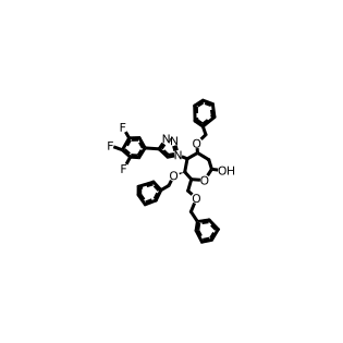 OC1CC(OCc2ccccc2)C(n2cc(-c3cc(F)c(F)c(F)c3)nn2)[C@@H](OCc2ccccc2)C(COCc2ccccc2)O1